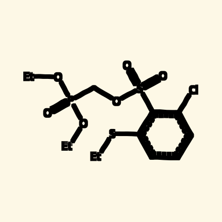 CCOP(=O)(COS(=O)(=O)c1c(Cl)cccc1SCC)OCC